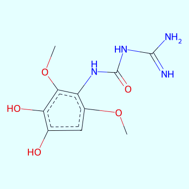 COc1cc(O)c(O)c(OC)c1NC(=O)NC(=N)N